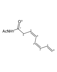 C=C/C=C\C=C/CC(=O)NC(C)=O